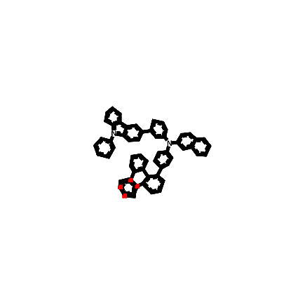 c1ccc(-c2ccccc2-c2c(-c3ccccc3)cccc2-c2ccc(N(c3cccc(-c4ccc5c(c4)c4ccccc4n5-c4ccccc4)c3)c3ccc4ccccc4c3)cc2)cc1